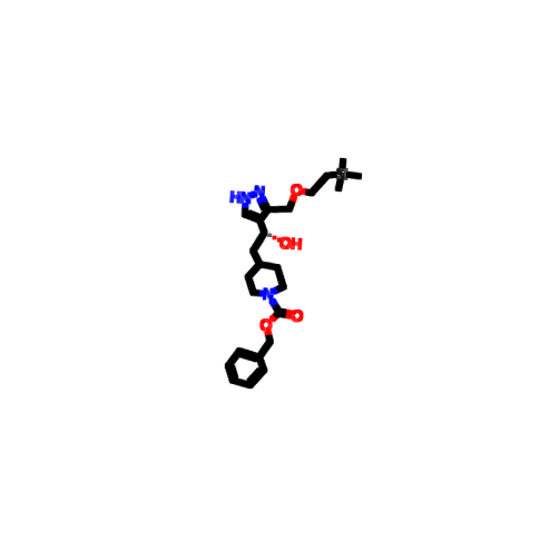 C[Si](C)(C)CCOCc1n[nH]cc1[C@H](O)CC1CCN(C(=O)OCc2ccccc2)CC1